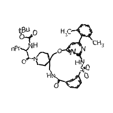 CCCC(NC(=O)OC(C)(C)C)C(=O)N1CCC2(CC1)CNC(=O)c1cccc(c1)S(=O)(=O)Nc1nc(cc(-c3c(C)cccc3C)n1)OC2